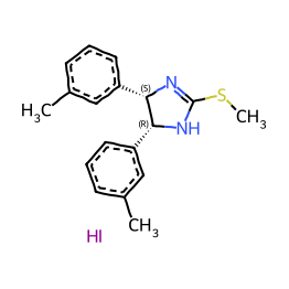 CSC1=N[C@@H](c2cccc(C)c2)[C@@H](c2cccc(C)c2)N1.I